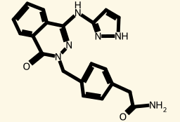 NC(=O)Cc1ccc(Cn2nc(Nc3cc[nH]n3)c3ccccc3c2=O)cc1